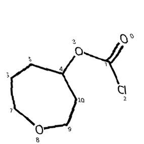 O=C(Cl)OC1CCCOCC1